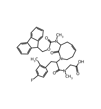 Cc1cc(F)ccc1CC(C(=O)N(C)CC(=O)O)N1CCC=CCC(N(C)C(=O)OCC2c3ccccc3-c3ccccc32)C1=O